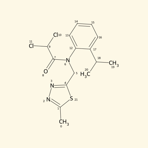 Cc1nnc(CN(C(=O)C(Cl)Cl)c2ccccc2C(C)C)s1